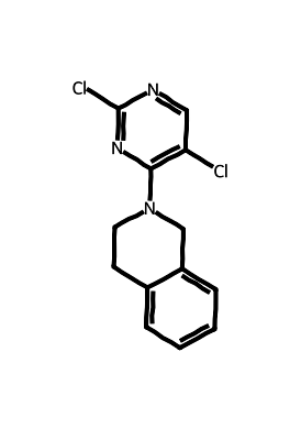 Clc1ncc(Cl)c(N2CCc3ccccc3C2)n1